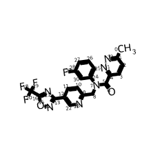 Cc1ccc(C(=O)N(Cc2ccc(-c3noc(C(F)(F)F)n3)cn2)c2cccc(F)c2)nn1